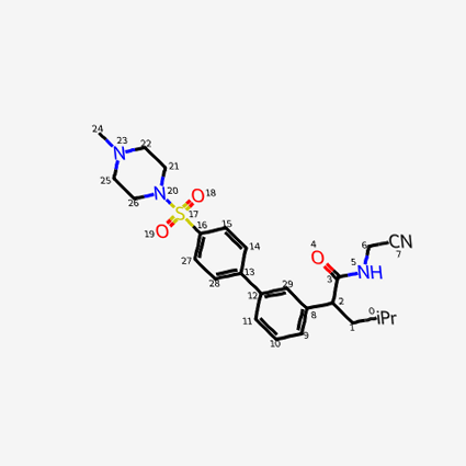 CC(C)CC(C(=O)NCC#N)c1cccc(-c2ccc(S(=O)(=O)N3CCN(C)CC3)cc2)c1